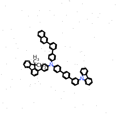 CC1(C)c2ccccc2-c2cccc(-c3ccc(N(c4ccc(-c5ccc(-c6cccc(-n7c8ccccc8c8ccccc87)c6)cc5)cc4)c4ccc(-c5cccc(-c6ccc7ccccc7c6)c5)cc4)cc3)c21